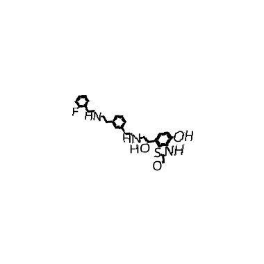 O=CC1Nc2c(O)ccc([C@@H](O)CNCCc3cccc(CCNCCc4ccccc4F)c3)c2S1